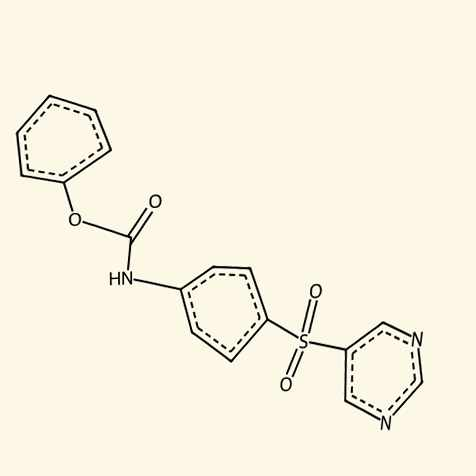 O=C(Nc1ccc(S(=O)(=O)c2cncnc2)cc1)Oc1ccccc1